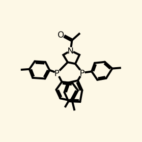 CC(=O)N1CC(P(c2ccc(C)cc2)c2ccc(C)cc2)C(P(c2ccc(C)cc2)c2ccc(C)cc2)C1